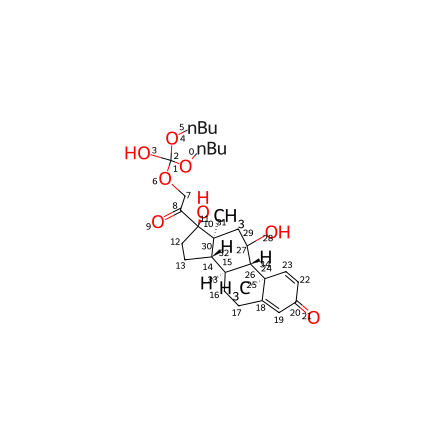 CCCCOC(O)(OCCCC)OCC(=O)[C@@]1(O)CC[C@H]2[C@@H]3CCC4=CC(=O)C=C[C@]4(C)[C@H]3C(O)C[C@@]21C